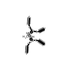 Cc1nc(Nc2ccc(OCCOCCC(F)(F)C(F)(F)C(F)(F)C(F)(F)C(F)(F)F)c(OCCOCCC(F)(F)C(F)(F)C(F)(F)C(F)(F)C(F)(F)C(F)(F)F)c2)nc(Nc2ccc(OCCOCCC(F)(F)C(F)(F)C(F)(F)C(F)(F)C(F)(F)C(F)(F)F)c(OCCOCCC(F)(F)C(F)(F)C(F)(F)C(F)(F)C(F)(F)C(F)(F)F)c2)n1